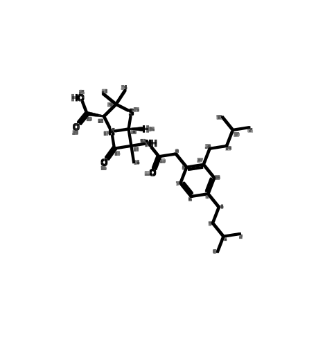 CC(C)CCc1ccc(CC(=O)NC2(C)C(=O)N3[C@@H](C(=O)O)C(C)(C)S[C@@H]32)c(CCC(C)C)c1